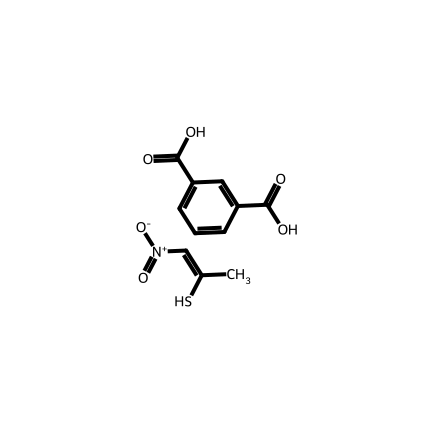 CC(S)=C[N+](=O)[O-].O=C(O)c1cccc(C(=O)O)c1